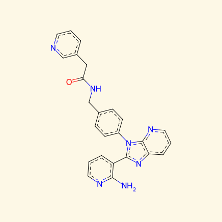 Nc1ncccc1-c1nc2cccnc2n1-c1ccc(CNC(=O)Cc2cccnc2)cc1